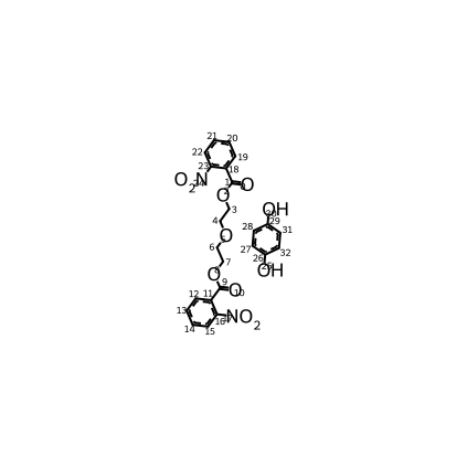 O=C(OCCOCCOC(=O)c1ccccc1[N+](=O)[O-])c1ccccc1[N+](=O)[O-].Oc1ccc(O)cc1